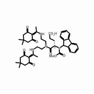 COC(=O)N(C1c2ccccc2-c2ccccc21)[C@@H](CCC(=O)O)C(=O)N(CCNC(C)=C1C(=O)CC(C)(C)CC1=O)CCNC(C)=C1C(=O)CC(C)(C)CC1=O